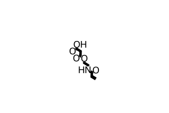 C=CC(=O)NCCOC(=O)CC(=O)O